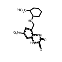 O=C(O)C1CCCCC1NCc1cc([N+](=O)[O-])cc2[nH]c(=O)c(=O)[nH]c12